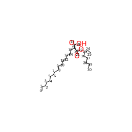 CCCCCCCCCCCCCCCCC(C(=O)O)C(=O)OC(CC)CCCCC